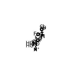 COc1cc(C(C)(C)c2cnc(SCc3c(F)cc(S(=O)(=O)N(CCC[N+](C)(C)C)C(CO)C(=O)O)cc3F)n2-c2ccc(F)cc2)ccc1Cl